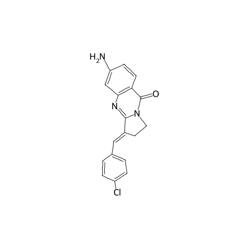 Nc1ccc2c(=O)n3c(nc2c1)C(=Cc1ccc(Cl)cc1)CC3